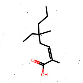 CCCC(C)(CC)CC=C(C)C(=O)O